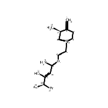 C=C1CCN(CCOC(N)/C=C(\O)[C@H](C(C)=O)C(C)C)C[C@H]1C